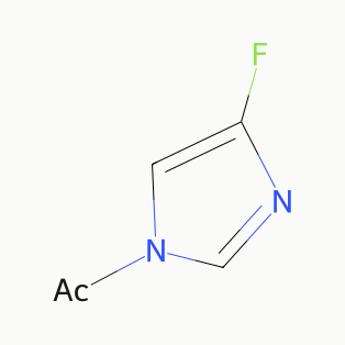 CC(=O)n1cnc(F)c1